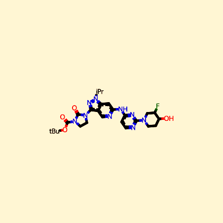 CC(C)n1nc(N2CCN(C(=O)OC(C)(C)C)C2=O)c2cnc(Nc3ccnc(N4CCC(O)C(F)C4)n3)cc21